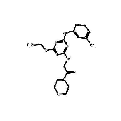 O=C(CNc1nc(NC2=CC(C(F)(F)F)=CCC2)nc(OCC(F)(F)F)n1)N1CCOCC1